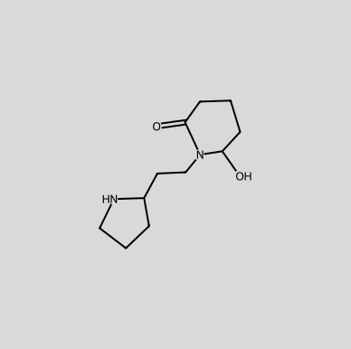 O=C1CCCC(O)N1CCC1CCCN1